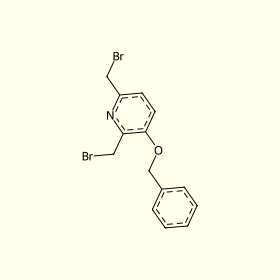 BrCc1ccc(OCc2ccccc2)c(CBr)n1